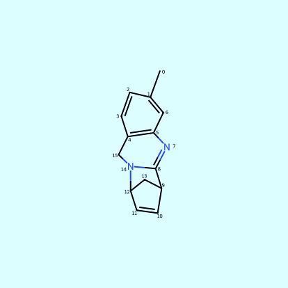 Cc1ccc2c(c1)N=C1C3C=CC(C3)N1C2